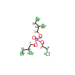 O=P(OCCCl)(OCC(Br)CBr)OCC(Br)CBr